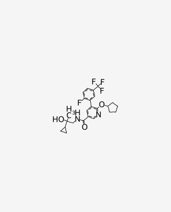 CC(O)(CNC(=O)c1cnc(OC2CCCC2)c(-c2cc(C(F)(F)F)ccc2F)c1)C1CC1